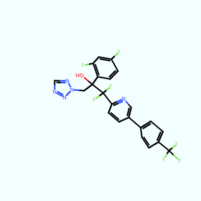 OC(Cn1ncnn1)(c1ccc(F)cc1F)C(F)(F)c1ccc(-c2ccc(C(F)(F)F)cc2)cn1